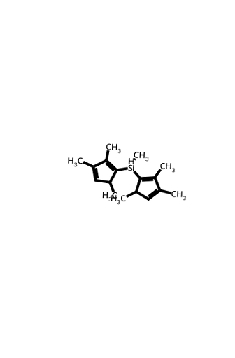 CC1=CC(C)C([SiH](C)C2=C(C)C(C)=CC2C)=C1C